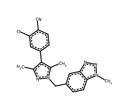 Cc1nn(Cc2ccc3c(c2)nnn3C)c(C)c1-c1ccc(C#N)c(Cl)c1